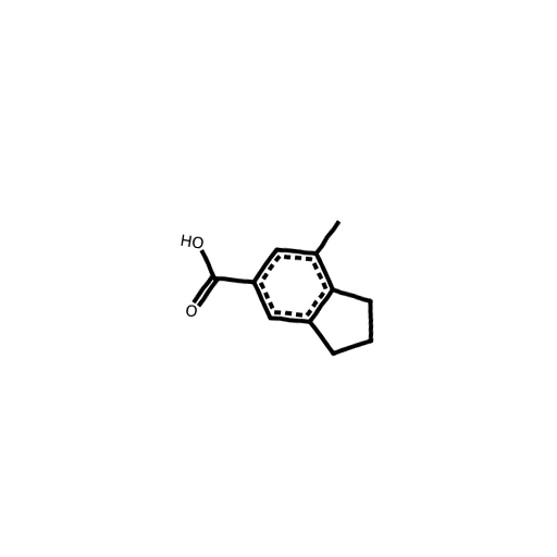 Cc1cc(C(=O)O)cc2c1CCC2